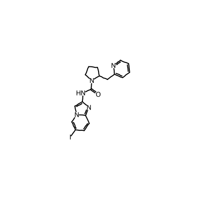 O=C(Nc1cn2cc(I)ccc2n1)N1CCCC1Cc1ccccn1